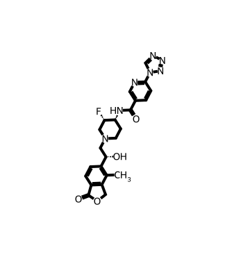 Cc1c([C@@H](O)CN2CC[C@@H](NC(=O)c3ccc(-n4cnnn4)nc3)[C@@H](F)C2)ccc2c1COC2=O